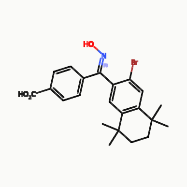 CC1(C)CCC(C)(C)c2cc(/C(=N/O)c3ccc(C(=O)O)cc3)c(Br)cc21